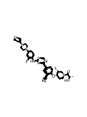 C[C@H](O)C(=O)N1CC[C@H](Oc2ccc(-c3ncnc(Nc4ccc(N5CCN(C6COC6)CC5)cc4F)n3)cc2C#N)[C@H](F)C1